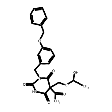 CC(=O)C1(COC(C)O)C(=O)NC(=O)N(Cc2cccc(OCc3ccccc3)c2)C1=O